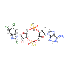 Nc1ncnc2c1ncn2C1OC2COP(=O)(S)OC3C(COP(=O)(S)OC2C1F)OC(n1c(Cl)nc2cc(Cl)c(Cl)cc21)C3O